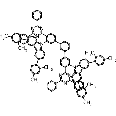 Cc1ccc(-c2ccc3c(c2)c2cc(-c4ccc(C)cc4C)ccc2n3-c2cc(-c3cccc(-c4ccc(-c5nc(-c6ccccc6)nc(-c6ccccc6)n5)c(-n5c6ccc(-c7ccc(C)cc7C)cc6c6cc(-c7ccc(C)cc7C)ccc65)c4)c3)ccc2-c2nc(-c3ccccc3)nc(-c3ccccc3)n2)c(C)c1